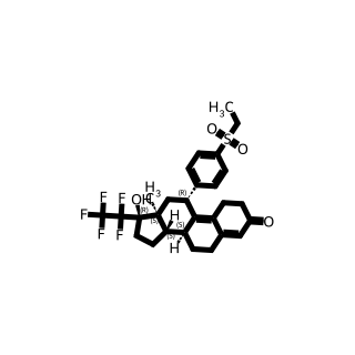 CCS(=O)(=O)c1ccc([C@H]2C[C@@]3(C)[C@@H](CC[C@]3(O)C(F)(F)C(F)(F)F)[C@@H]3CCC4=CC(=O)CCC4=C32)cc1